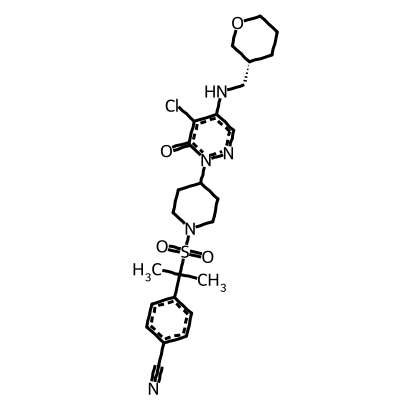 CC(C)(c1ccc(C#N)cc1)S(=O)(=O)N1CCC(n2ncc(NC[C@H]3CCCOC3)c(Cl)c2=O)CC1